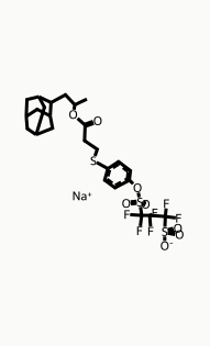 CC(CC1C2CC3CC(C2)CC1C3)OC(=O)CCSc1ccc(OS(=O)(=O)C(F)(F)C(F)(F)C(F)(F)S(=O)(=O)[O-])cc1.[Na+]